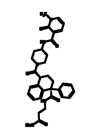 COC(=O)CCNC(=O)[C@@]1(c2ccccc2)CC[C@H](C(=O)N2CCC(NC(=O)c3cccn(C)c3=O)CC2)c2ccccc21